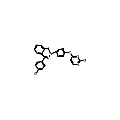 Clc1ccc(C2=NN(c3ccc(Oc4ccnc(Cl)n4)cc3)Cc3ccccc32)cc1